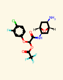 N[C@@H]1C[C@@H]2O[C@H]1C[C@H]2NC(=O)C(OC(=O)C(F)(F)F)Oc1ccc(Cl)c(F)c1